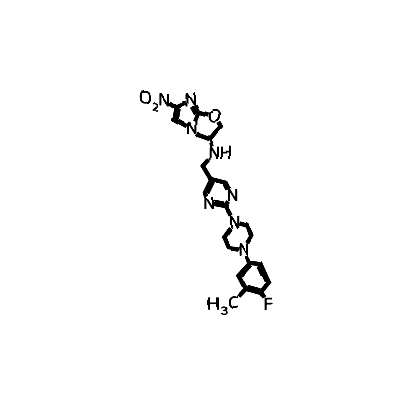 Cc1cc(N2CCN(c3ncc(CN[C@@H]4COc5nc([N+](=O)[O-])cn5C4)cn3)CC2)ccc1F